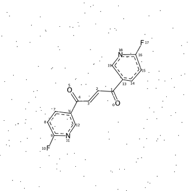 O=C(C=CC(=O)c1ccc(F)nc1)c1ccc(F)nc1